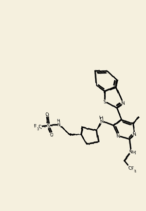 Cc1nc(NCC(F)(F)F)nc(N[C@H]2CC[C@@H](CNS(=O)(=O)C(F)(F)F)C2)c1-c1nc2ccccc2s1